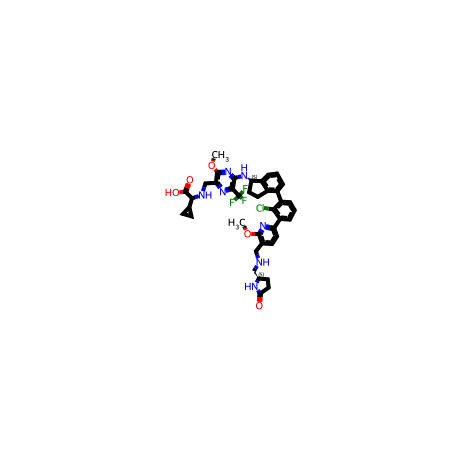 COc1nc(-c2cccc(-c3cccc4c3CC[C@@H]4Nc3nc(OC)c(CNC(C(=O)O)C4CC4)nc3C(F)(F)F)c2Cl)ccc1CNC[C@@H]1CCC(=O)N1